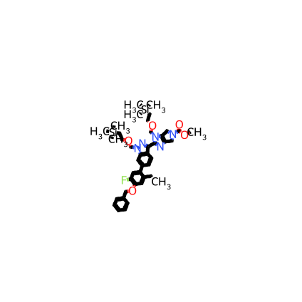 CCc1cc(OCc2ccccc2)c(F)cc1-c1ccc2c(-c3nc4c(n3COCC[Si](C)(C)C)CN(C(=O)OC)C4)nn(COCC[Si](C)(C)C)c2c1